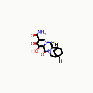 NC(=O)c1cn2c(c(O)c1=O)C(=O)N1CC[C@H]3CC[C@H](CC3)[C@H]1C2